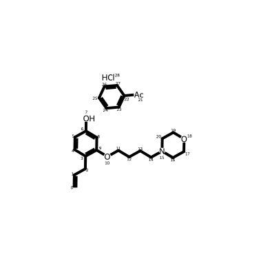 C=CCc1ccc(O)cc1OCCCCN1CCOCC1.CC(=O)c1ccccc1.Cl